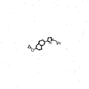 CC(C)Cn1ccc(-c2ccc3cc(OC4CC4)ccc3c2)n1